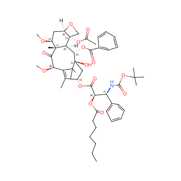 CCCCCCC(=O)O[C@@H](C(=O)O[C@H]1C[C@@]2(O)[C@@H](OC(=O)c3ccccc3)[C@@H]3[C@]4(OC(C)=O)CO[C@@H]4C[C@H](OC)[C@@]3(C)C(=O)[C@H](OC)C(=C1C)C2(C)C)[C@@H](NC(=O)OC(C)(C)C)c1ccccc1